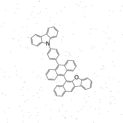 c1ccc2c(-c3c4ccccc4c(-c4ccc(-n5c6ccccc6c6ccccc65)cc4)c4ccccc34)c3oc4ccccc4c3cc2c1